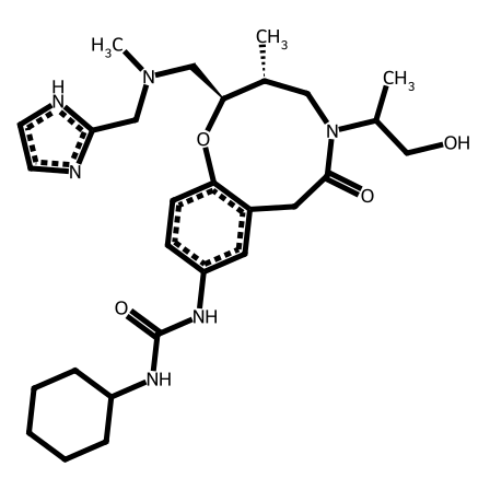 CC(CO)N1C[C@@H](C)[C@H](CN(C)Cc2ncc[nH]2)Oc2ccc(NC(=O)NC3CCCCC3)cc2CC1=O